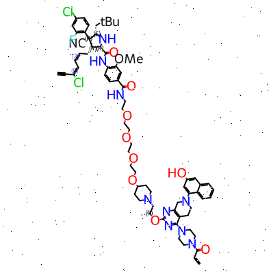 C#C/C(Cl)=C\C=C/C[C@H]1[C@H](C(=O)Nc2ccc(C(=O)NCCOCCOCCOCCOC3CCN(C[C@@H](C)Oc4nc5c(c(N6CCN(C(=O)C=C)CC6)n4)CCN(c4cc(O)cc6ccccc46)C5)CC3)cc2OC)N[C@@H](CC(C)(C)C)[C@]1(C#N)c1ccc(Cl)cc1F